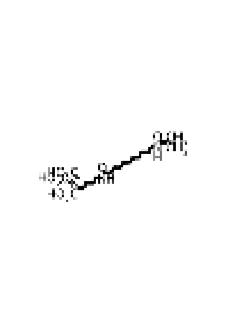 C=C(C)C(=O)NCCCCCCCCCCC(=O)NCCCCC(C(=O)O)N(CC(=O)O)CC(=O)O